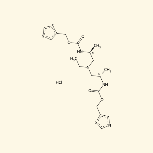 CCN(C[C@H](C)NC(=O)OCc1cncs1)C[C@H](C)NC(=O)OCc1cncs1.Cl